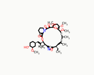 CC[C@@H]1/C=C(\C)C[C@H](C)C[C@H](OC)[C@H]2O[C@@](O)(C(=O)C(=O)N3CCCC[C@H]3C(=O)O[C@H](/C(C)=C/[C@@H]3CC[C@@H](O)[C@H](OC)C3)[C@H](C)c3cc1on3)[C@H](C)C[C@@H]2OC